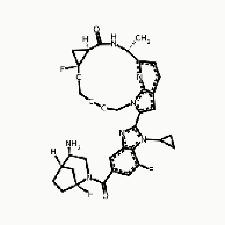 C[C@H]1NC(=O)[C@@H]2C[C@@]2(F)CCCCCn2c(-c3nc4cc(C(=O)N5C[C@H](N)[C@H]6CC[C@@H]5C6)cc(F)c4n3C3CC3)cc3ccc1nc32